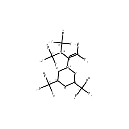 FC(F)=C(N1CC(C(F)(F)F)CC(C(F)(F)F)C1)N(C(F)(F)F)C(F)(F)F